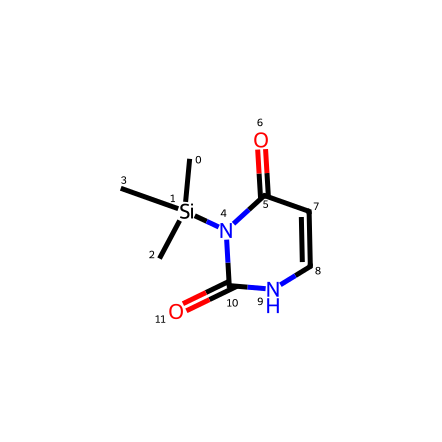 C[Si](C)(C)n1c(=O)cc[nH]c1=O